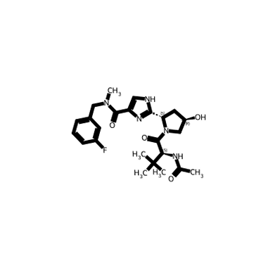 CC(=O)N[C@H](C(=O)N1C[C@H](O)C[C@H]1c1nc(C(=O)N(C)Cc2cccc(F)c2)c[nH]1)C(C)(C)C